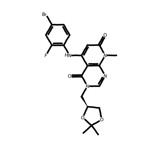 Cn1c(=O)cc(Nc2ccc(Br)cc2F)c2c(=O)n(C[C@H]3COC(C)(C)O3)cnc21